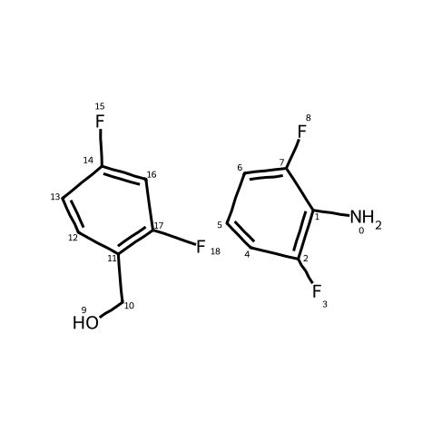 Nc1c(F)cccc1F.OCc1ccc(F)cc1F